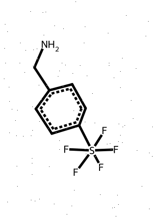 NCc1ccc(S(F)(F)(F)(F)F)cc1